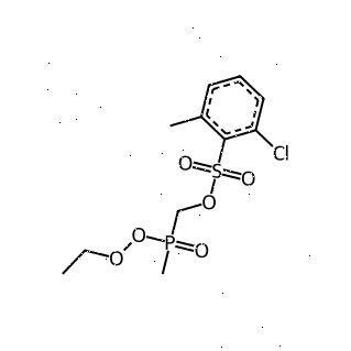 CCOOP(C)(=O)COS(=O)(=O)c1c(C)cccc1Cl